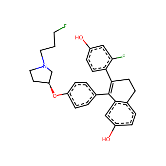 Oc1ccc(C2=C(c3ccc(O[C@H]4CCN(CCCF)C4)cc3)c3cc(O)ccc3CC2)c(F)c1